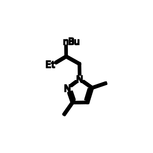 CCCCC(CC)Cn1nc(C)cc1C